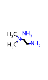 CN(C)CCN.N